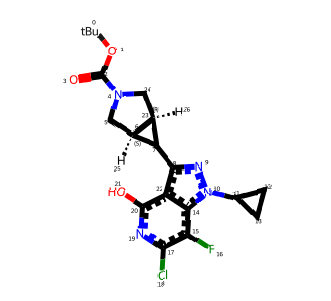 CC(C)(C)OC(=O)N1C[C@@H]2C(c3nn(C4CC4)c4c(F)c(Cl)nc(O)c34)[C@@H]2C1